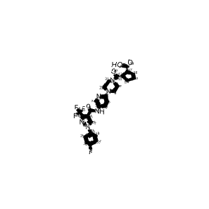 O=C(Nc1ccc(N2CCN(C(=O)[C@H]3CCC[C@@H]3C(=O)O)CC2)nc1)c1cn(-c2ccc(F)cc2)nc1C(F)(F)F